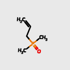 C=CCP(C)(C)=O